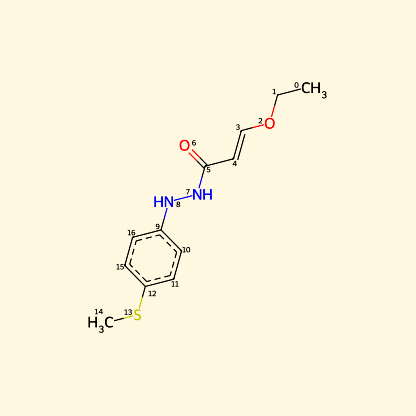 CCO/C=C/C(=O)NNc1ccc(SC)cc1